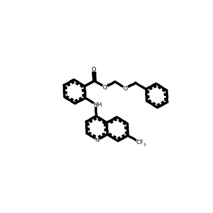 O=C(OCOCc1ccccc1)c1ccccc1Nc1ccnc2cc(C(F)(F)F)ccc12